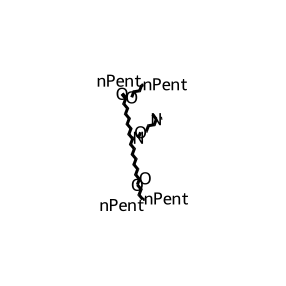 CCCCCC(CCCCC)CCOC(=O)CCCCCCCC(CCCCCCCC(=O)OCCC(CCCCC)CCCCC)=NOCCCN(C)C